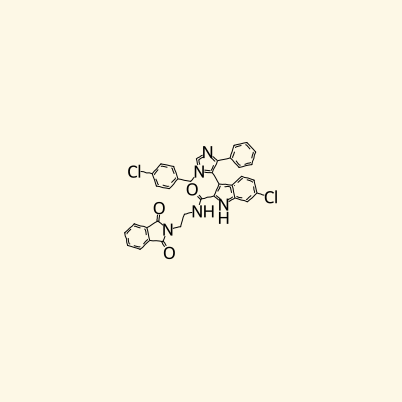 O=C(NCCN1C(=O)c2ccccc2C1=O)c1[nH]c2cc(Cl)ccc2c1-c1c(-c2ccccc2)ncn1Cc1ccc(Cl)cc1